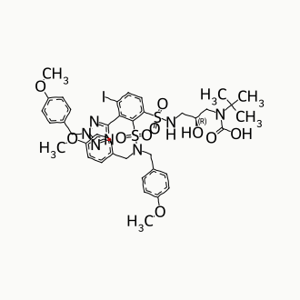 COc1ccc(CN(Cc2ccc(OC)cc2)S(=O)(=O)c2c(S(=O)(=O)NC[C@H](O)CN(C(=O)O)C(C)(C)C)ccc(I)c2-c2nnn(Cc3ccc(OC)cc3)n2)cc1